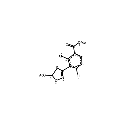 COC(=O)c1ccc(Cl)c(C2=NOC(OC(C)=O)C2)c1Cl